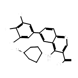 CC(C)C(=O)c1cnc2ccc(-c3cc(Cl)c(O)c(Cl)c3)cc2c1N[C@H]1CC[C@H](N)CC1